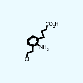 Nc1c(CCCl)cccc1CCCC(=O)O